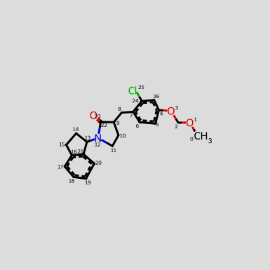 COCOc1ccc(CC2CCN(C3CCc4ccccc43)C2=O)c(Cl)c1